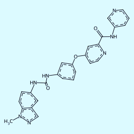 Cn1ncc2cc(NC(=O)Nc3cccc(Oc4ccnc(C(=O)Nc5cccnc5)c4)c3)ccc21